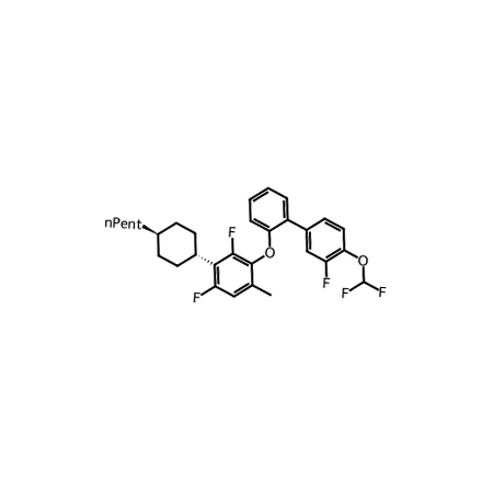 CCCCC[C@H]1CC[C@H](c2c(F)cc(C)c(Oc3ccccc3-c3ccc(OC(F)F)c(F)c3)c2F)CC1